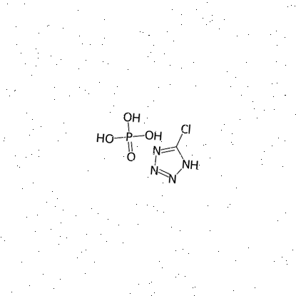 Clc1nnn[nH]1.O=P(O)(O)O